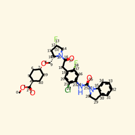 COC(=O)[C@H]1CC[C@H](OC[C@@H]2C[C@H](F)CN2C(=O)Cc2cc(Cl)c(NC(=O)N3CCc4ccccc43)cc2F)CC1